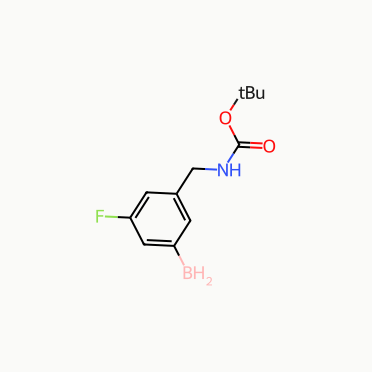 Bc1cc(F)cc(CNC(=O)OC(C)(C)C)c1